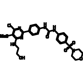 CSc1c(Cl)nc(-c2ccc(NC(=O)Nc3ccc(S(=O)(=O)N4CCOCC4)cc3)cc2)nc1NCCO